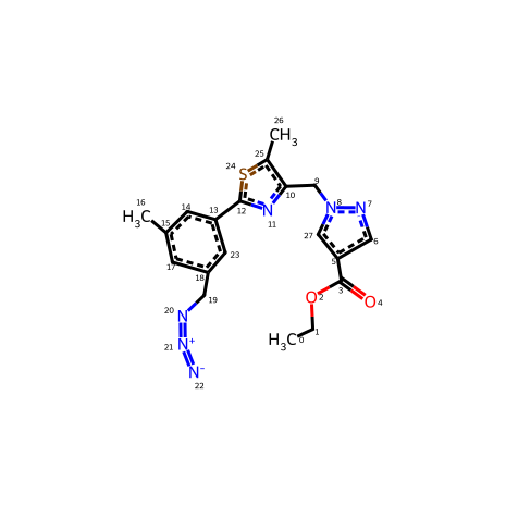 CCOC(=O)c1cnn(Cc2nc(-c3cc(C)cc(CN=[N+]=[N-])c3)sc2C)c1